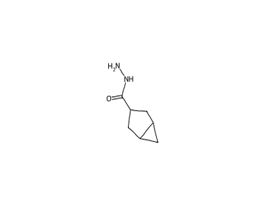 NNC(=O)C1CC2CC2C1